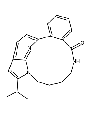 CC(C)c1cc2ccc3nc2n1CCCCNC(=O)c1ccccc1-3